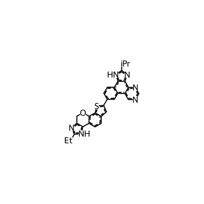 CCc1nc2c([nH]1)-c1ccc3cc(-c4ccc5c(c4)c4cncnc4c4nc(C(C)C)[nH]c54)sc3c1OC2